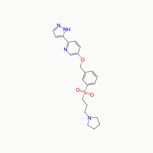 O=S(=O)(CCCN1CCCC1)c1cccc(COc2ccc(-c3ccn[nH]3)nc2)c1